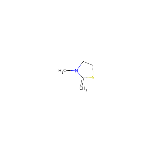 C=C1SCCN1C